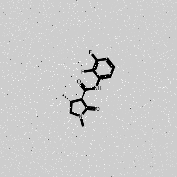 C[C@H]1CN(C)C(=O)[C@@H]1C(=O)Nc1cccc(F)c1F